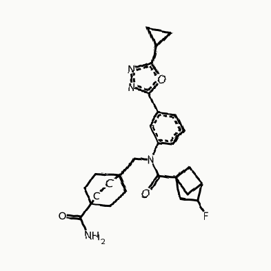 NC(=O)C12CCC(CN(C(=O)C34CC(F)C(C3)C4)c3cccc(-c4nnc(C5CC5)o4)c3)(CC1)CC2